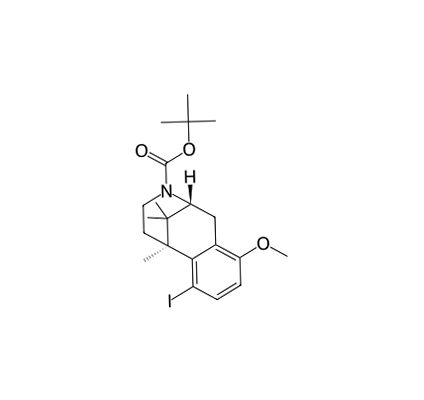 COc1ccc(I)c2c1C[C@H]1N(C(=O)OC(C)(C)C)CC[C@@]2(C)C1(C)C